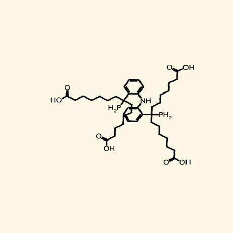 O=C(O)CCCCCCC(P)(CCCCCCC(=O)O)c1ccccc1Nc1ccccc1C(P)(CCCCCCC(=O)O)CCCCCCC(=O)O